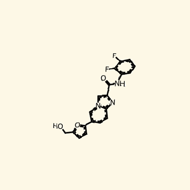 O=C(Nc1cccc(F)c1F)c1cn2cc(-c3ccc(CO)o3)ccc2n1